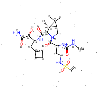 C=CS(=O)(=O)NCC[C@H](NC(=O)NC(C)(C)C)C(=O)N1CC2[C@@H]([C@H]1C(=O)NC(CC1CCC1)C(=O)C(N)=O)C2(C)C